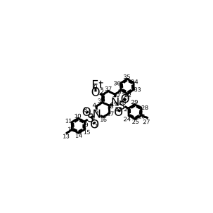 CCOC1=C2CN(S(=O)(=O)c3ccc(C)cc3)CCC2N(S(=O)(=O)c2ccc(C)cc2)C(c2ccccc2)C1